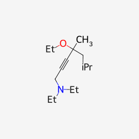 CCOC(C)(C#CCN(CC)CC)CC(C)C